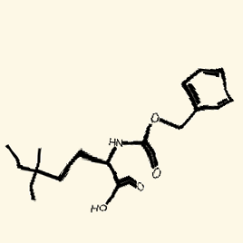 CCC(C)(C)CCC(NC(=O)OCc1ccccc1)C(=O)O